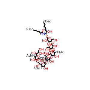 CCCCCCCCCCCCC/C=C/[C@@H](O)[C@H](CO[C@@H]1OC(CO)[C@@H](O[C@@H]2OC(CO)[C@H](O)[C@H](O[C@@H]3OC(CO)[C@@H](O[C@@H]4OC(CO)[C@H](O)[C@H](O[C@]5(C(=O)O)CC(O)[C@@H](NC(C)=O)C([C@H](O)[C@@H](CO)O[C@]6(C(=O)O)CC(O)[C@@H](NC(C)=O)C([C@H](O)[C@H](O)CO)O6)O5)C4O)[C@H](O)C3NC(C)=O)C2O)[C@H](O)C1O)NC(=O)CCCCCCCCCCCCCCC